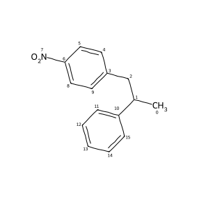 CC(Cc1ccc([N+](=O)[O-])cc1)c1ccccc1